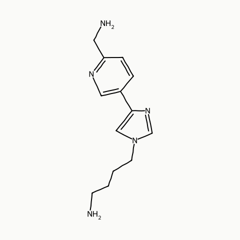 NCCCCn1cnc(-c2ccc(CN)nc2)c1